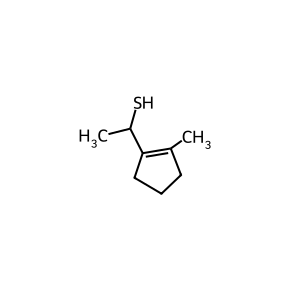 CC1=C(C(C)S)CCC1